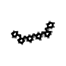 c1ccc(Oc2ccccc2Oc2cccc(Oc3cccc(Oc4ccccc4Oc4ccccc4)c3)c2)cc1